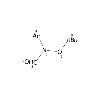 CCCCON([C]=O)C(C)=O